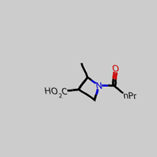 CCCC(=O)N1CC(C(=O)O)C1C